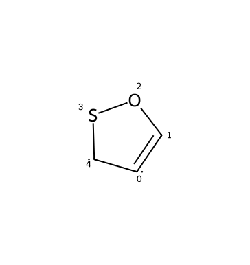 [C]1=COS[CH]1